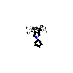 C[Si](C)(C)c1cn(-c2ccccc2)cc1[Si](C)(C)C